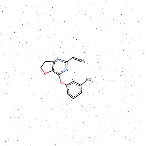 C=Cc1nc2c(c(Oc3cccc([N+](=O)[O-])c3)n1)OCC2